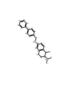 CC1c2ccc(OCc3ccc(-c4ccccc4)cc3)cc2CCC1N(C)C